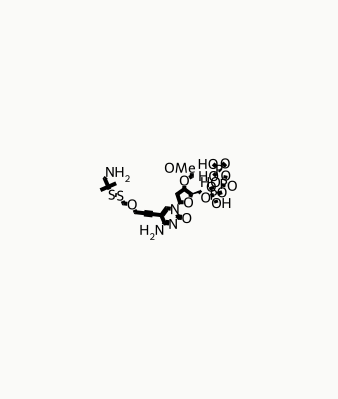 COCOC1C[C@H](n2cc(C#CCOCSSC(C)(C)CN)c(N)nc2=O)O[C@@H]1COP(=O)(O)OP(=O)(O)OP(=O)(O)O